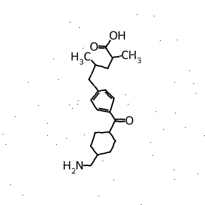 CC(Cc1ccc(C(=O)C2CCC(CN)CC2)cc1)CC(C)C(=O)O